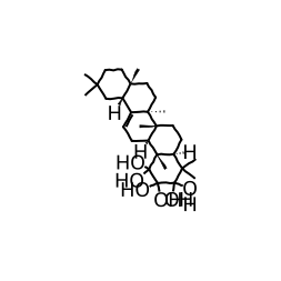 CC1(C)CC[C@]2(C)CC[C@]3(C)C(=CC[C@@H]4[C@]5(C)[C@@H](CC[C@]43C)C(C)(C)C(O)(O)C(O)(O)C5(O)O)[C@@H]2C1